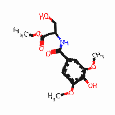 COC(=O)C(CO)NC(=O)c1cc(OC)c(O)c(OC)c1